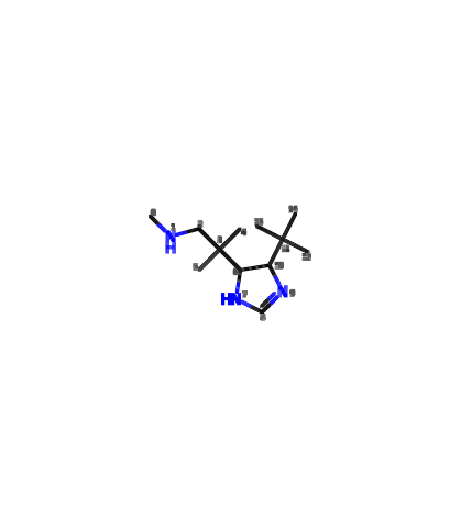 CNCC(C)(C)C1NC=NC1C(C)(C)C